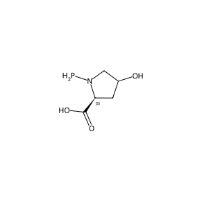 O=C(O)[C@@H]1CC(O)CN1P